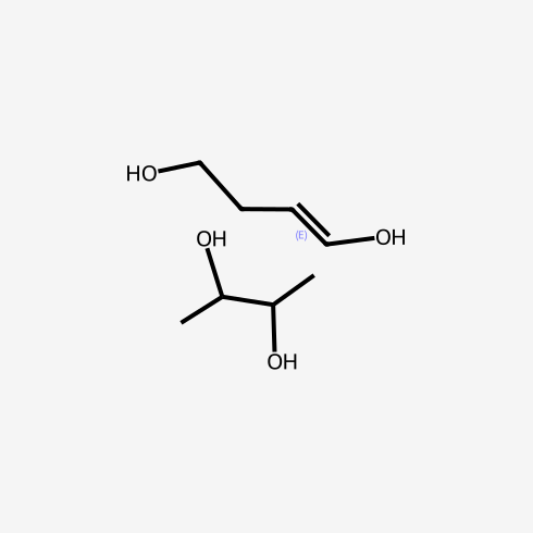 CC(O)C(C)O.O/C=C/CCO